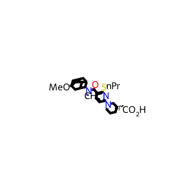 CCCSc1nc(N2CCC[C@@H](CC(=O)O)C2)ccc1C(=O)N(C)C1C2CC3CC1CC(OC)(C3)C2